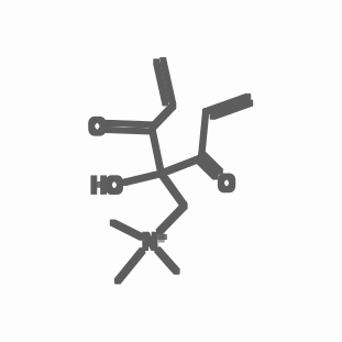 C=CC(=O)C(O)(C[N+](C)(C)C)C(=O)C=C